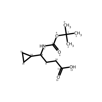 CC(C)(C)OC(=O)NC(CCC(=O)O)C1CC1